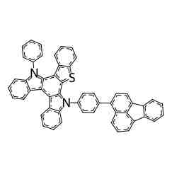 c1ccc(-n2c3ccccc3c3c4c5ccccc5n(-c5ccc(-c6ccc7c8c(cccc68)-c6ccccc6-7)cc5)c4c4sc5ccccc5c4c32)cc1